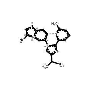 Cc1cccc(-c2nc(C(C)N)cn2-c2ccc3ncc(C#N)n3c2)n1